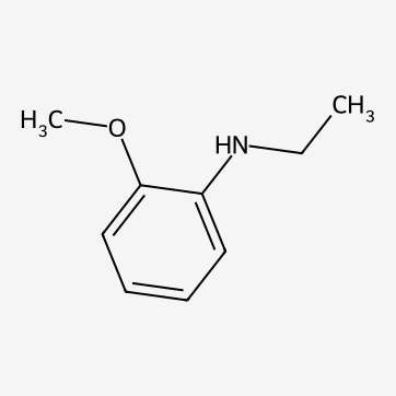 CCNc1ccccc1OC